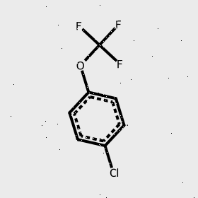 FC(F)(F)Oc1c[c]c(Cl)cc1